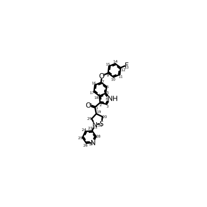 O=C(c1c[nH]c2cc(Oc3ccc(F)cc3)ccc12)C1CSN(c2cccnc2)C1